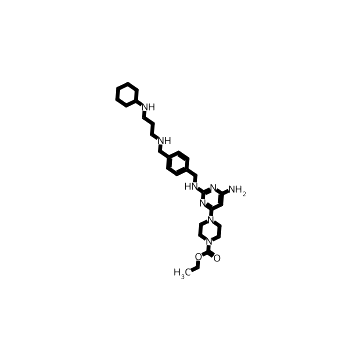 CCOC(=O)N1CCN(c2cc(N)nc(NCc3ccc(CNCCCNC4CCCCC4)cc3)n2)CC1